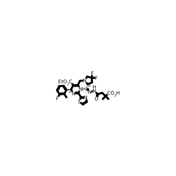 CCOC(=O)C1=C(CN2CC(F)(F)C[C@@H]2/C=N\NC(=O)CC(C)(C)C(=O)O)NC(c2nccs2)=N[C@H]1c1cccc(F)c1C